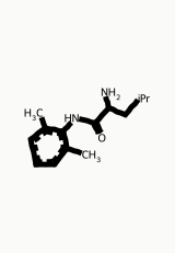 Cc1cccc(C)c1NC(=O)C(N)CC(C)C